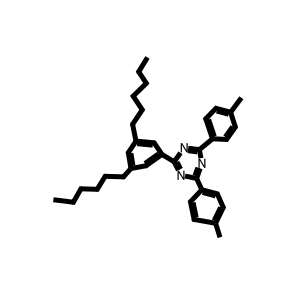 CCCCCCc1cc(CCCCCC)cc(-c2nc(-c3ccc(C)cc3)nc(-c3ccc(C)cc3)n2)c1